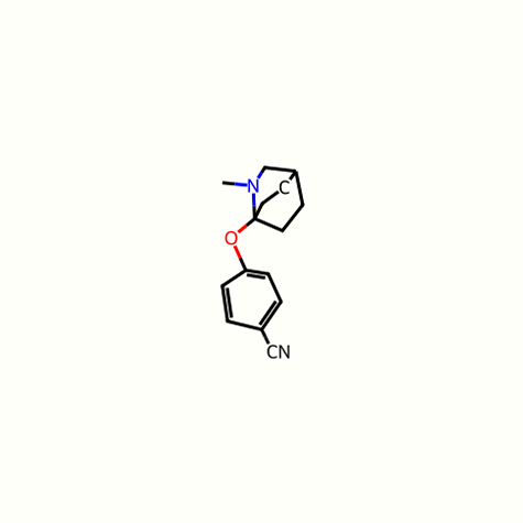 CN1CC2CCC1(Oc1ccc(C#N)cc1)CC2